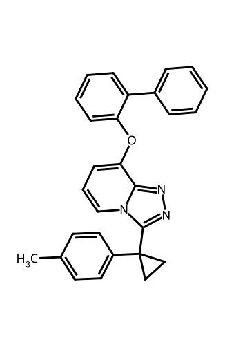 Cc1ccc(C2(c3nnc4c(Oc5ccccc5-c5ccccc5)cccn34)CC2)cc1